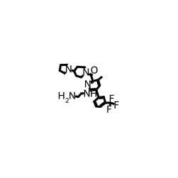 Cc1cc(-c2cccc(C(F)(F)F)c2)c(NCCN)nc1C(=O)N1CCC(N2CCCC2)CC1